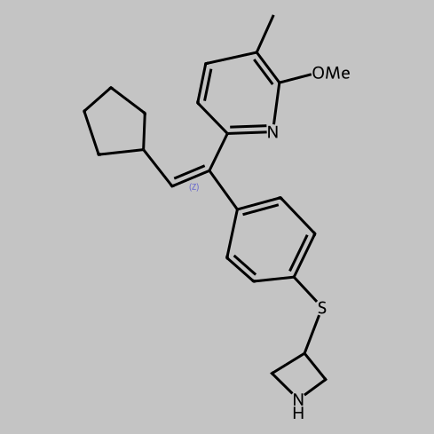 COc1nc(/C(=C\C2CCCC2)c2ccc(SC3CNC3)cc2)ccc1C